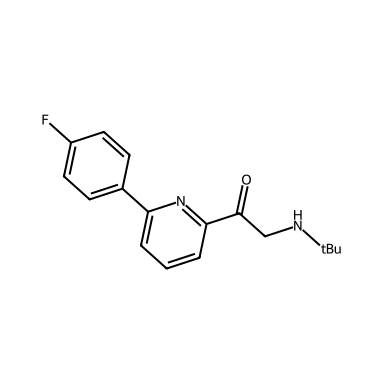 CC(C)(C)NCC(=O)c1cccc(-c2ccc(F)cc2)n1